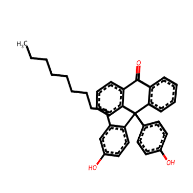 CCCCCCCCCc1cc(O)ccc1C1(c2ccc(O)cc2)c2ccccc2C(=O)c2ccccc21